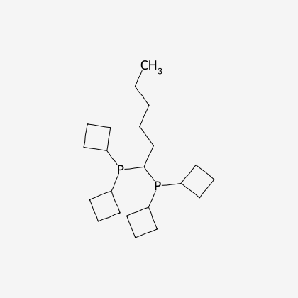 CCCCCC(P(C1CCC1)C1CCC1)P(C1CCC1)C1CCC1